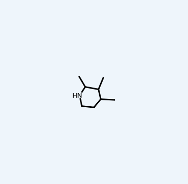 CC1CCNC(C)C1C